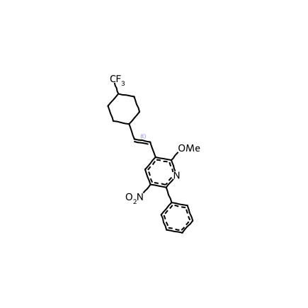 COc1nc(-c2ccccc2)c([N+](=O)[O-])cc1/C=C/C1CCC(C(F)(F)F)CC1